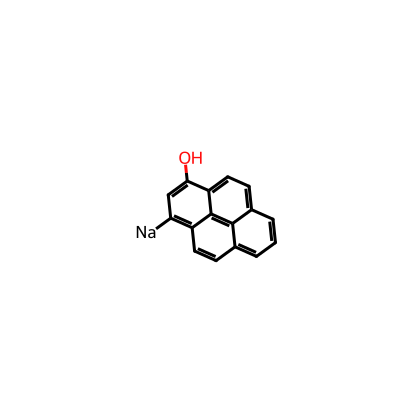 Oc1c[c]([Na])c2ccc3cccc4ccc1c2c43